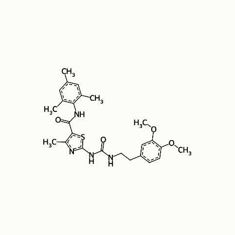 COc1ccc(CCNC(=O)Nc2nc(C)c(C(=O)Nc3c(C)cc(C)cc3C)s2)cc1OC